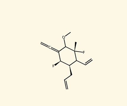 C=C=C1C(OC)[C@](C)(F)C(C=C)[C@@H](CC=C)[C@H]1F